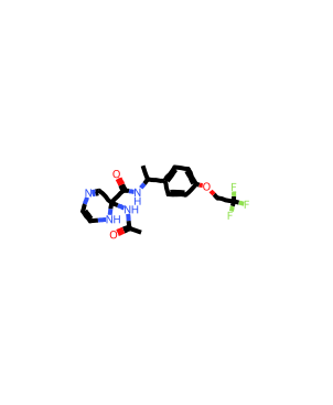 CC(=O)NC1(C(=O)NC(C)c2ccc(OCC(F)(F)F)cc2)C=NC=CN1